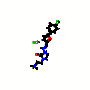 CN(C)CCN1CCN(/N=C/c2ccc(-c3ccc(Cl)cc3)o2)C1=O.Cl